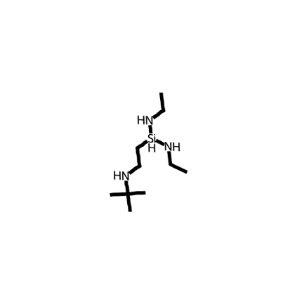 CCN[SiH](CCNC(C)(C)C)NCC